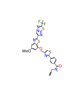 C#CCN(C)C(=O)c1ccc(-c2nc(COc3cc(OC)cc4nc(-c5cn6nc(C(C)(F)F)sc6n5)sc34)cs2)cc1